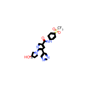 O=C(Nc1ccc(S(=O)(=O)C(F)(F)F)cc1)c1cnc(N2CC[C@@H](O)C2)c(-c2cncnc2)c1